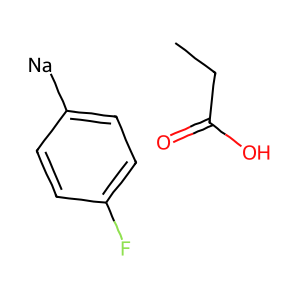 CCC(=O)O.Fc1cc[c]([Na])cc1